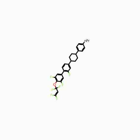 CCCc1ccc(C2CCC(c3ccc(-c4cc(F)c(OC(F)(F)C=C(F)F)c(F)c4)c(F)c3)CC2)cc1